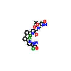 COc1nc(-c2cccc(-c3cccc(-c4ccc5c(Cl)c(C=O)[nH]c5n4)c3Cl)c2Cl)ccc1CN(C[C@@H]1CCC(=O)N1)C(=O)OC(C)(C)C